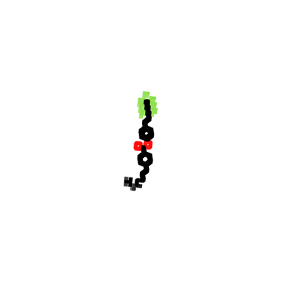 CCCCC1CCC(C(=O)Oc2ccc(CCC(F)(F)C(F)(F)C(F)(F)F)cc2)CC1